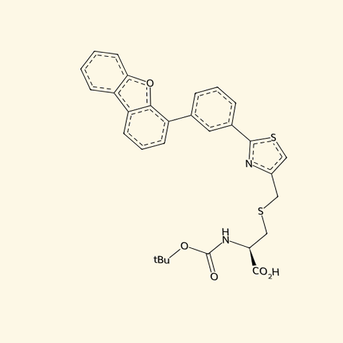 CC(C)(C)OC(=O)N[C@@H](CSCc1csc(-c2cccc(-c3cccc4c3oc3ccccc34)c2)n1)C(=O)O